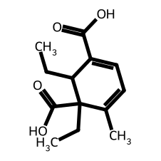 CCC1C(C(=O)O)=CC=C(C)C1(CC)C(=O)O